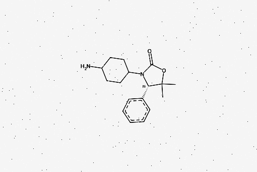 CC1(C)OC(=O)N(C2CCC(N)CC2)[C@H]1c1ccccc1